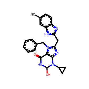 N#Cc1ccc2nc(Cc3nc4c(n3Cc3ccccc3)C(=O)NC(O)N4C3CC3)[nH]c2c1